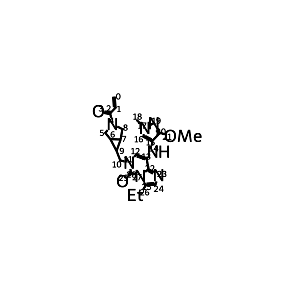 C=CC(=O)N1CC2C(C1)C2Cn1cc(Nc2cn(C)nc2OC)c2ncc(CC)n2c1=O